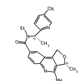 CCN(C(=O)c1ccc2nc(N)c3c(c2c1)CO[C@@H]3C)[C@@H](C)c1ccc(C#N)cn1